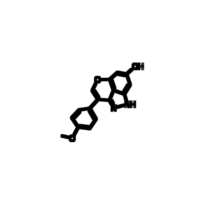 COc1ccc(C2=COc3cc(O)cc4[nH]nc2c34)cc1